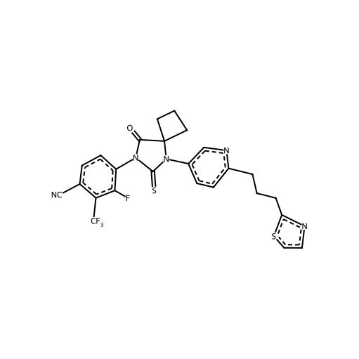 N#Cc1ccc(N2C(=O)C3(CCC3)N(c3ccc(CCCc4nccs4)nc3)C2=S)c(F)c1C(F)(F)F